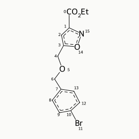 CCOC(=O)c1cc(COCc2ccc(Br)cc2)on1